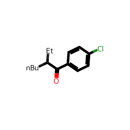 CCCCC(CC)C(=O)c1ccc(Cl)cc1